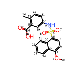 COc1ccc(S(=O)(=O)Nc2ccc(C)c(C(=O)O)c2)c2ccccc12